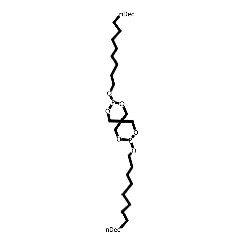 CCCCCCCCCCCCCCCCCCOP1OCC2(CO1)COP(OCCCCCCCCCCCCCCCCCC)OC2